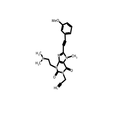 C#CCn1c(=O)c2c(nc(C#Cc3cccc(OC)c3)n2C)n(CCN(C)C)c1=O